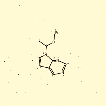 CC(C)OC(C)n1cnc2cncnc21